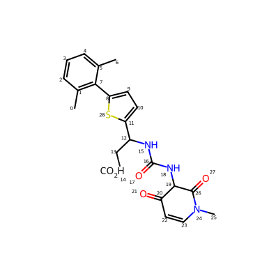 Cc1cccc(C)c1-c1ccc(C(CC(=O)O)NC(=O)NC2C(=O)C=CN(C)C2=O)s1